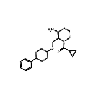 NC1CCCN(C(=O)C2CC2)C1COC1CCC(c2ccccc2)CC1